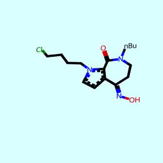 CCCCN1CCC(=NO)c2ccn(CCCCCl)c2C1=O